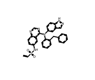 C=CS(=O)(=O)Nc1ccc2ncnc(N(c3ccc4[nH]ncc4c3)c3ccccc3Cc3ccccc3)c2c1